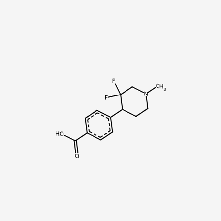 CN1CCC(c2ccc(C(=O)O)cc2)C(F)(F)C1